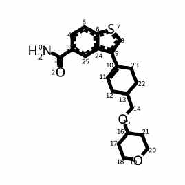 NC(=O)c1ccc2scc(C3=CCC(COC4CCOCC4)CC3)c2c1